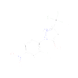 O=[N+]([O-])c1ccc(-n2nc(C(F)(F)F)cc2O)c(Cl)c1